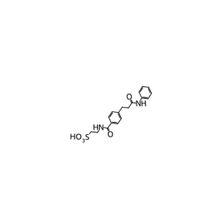 O=C(CCc1ccc(C(=O)NCCS(=O)(=O)O)cc1)Nc1ccccc1